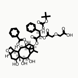 CC1C2[C@@H](O)[C@@H](O)[C@@]3(C)C([C@@H]4CO[C@@H]4C[C@@H]3O)[C@H](OC(=O)c3ccccc3)[C@](O)(C[C@@H]1OC(=O)[C@H](OC(=O)COCC(=O)O)[C@@H](NC(=O)OC(C)(C)C)c1ccccc1)C2(C)C